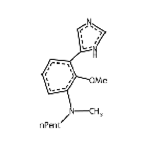 CCCCCN(C)c1cccc(-c2cnc[nH]2)c1OC